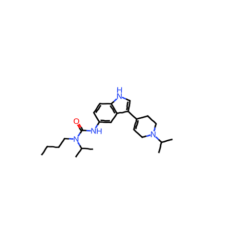 CCCCN(C(=O)Nc1ccc2[nH]cc(C3=CCN(C(C)C)CC3)c2c1)C(C)C